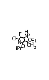 C=C(OCC)c1c(OC(C)C)nc(Cl)c(F)c1N